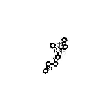 C1=Cc2c(oc3c(C4NC(c5ccccc5)=NC(c5ccc6c(c5)sc5c(-c7cccc8c7oc7ccccc78)cccc56)N4)cccc23)CC1